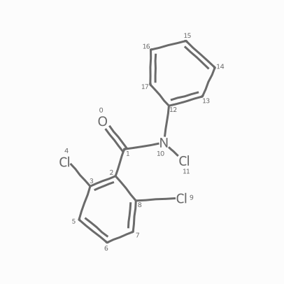 O=C(c1c(Cl)cccc1Cl)N(Cl)c1ccccc1